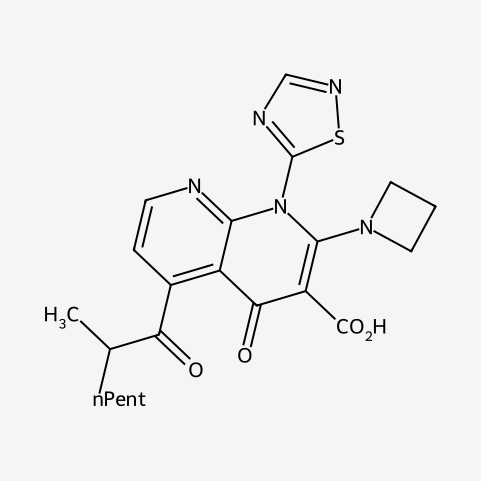 CCCCCC(C)C(=O)c1ccnc2c1c(=O)c(C(=O)O)c(N1CCC1)n2-c1ncns1